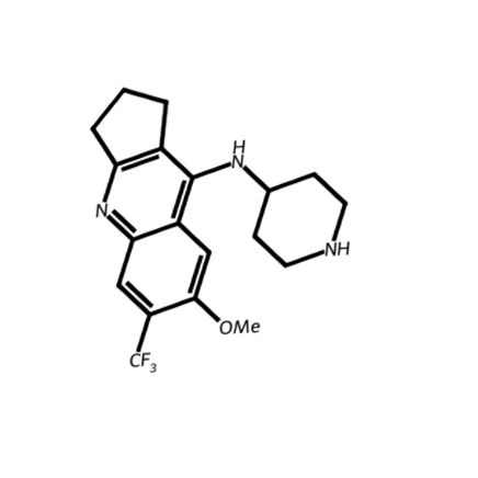 COc1cc2c(NC3CCNCC3)c3c(nc2cc1C(F)(F)F)CCC3